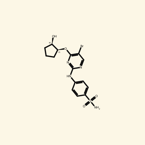 NS(=O)(=O)c1ccc(Nc2ncc(Br)c(O[C@H]3CCC[C@H]3O)n2)cc1